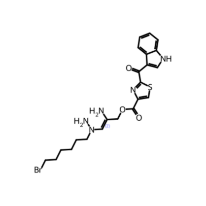 N/C(=C\N(N)CCCCCCBr)COC(=O)c1csc(C(=O)c2c[nH]c3ccccc23)n1